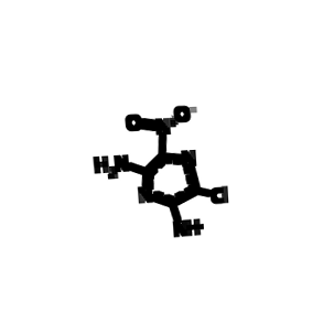 [NH]c1nc(N)c([N+](=O)[O-])nc1Cl